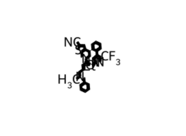 CCn1cc(-c2ccccc2[C@@H]2CN(C(=O)/C=C/CN(C)Cc3ccccc3)Cc3sc(C#N)cc32)c(C(F)(F)F)n1